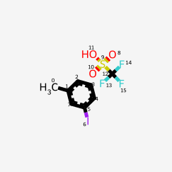 Cc1cccc(I)c1.O=S(=O)(O)C(F)(F)F